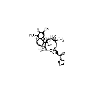 CC(=O)/C=C1/[C@@]2(C)C=C(C#N)C(=O)[C@@H](C)[C@@H]2CC[C@@]1(C)[C@@]1(C)CCCC(C)(C)CC[C@](C)(CCC(=O)N2CCCC2)CC1